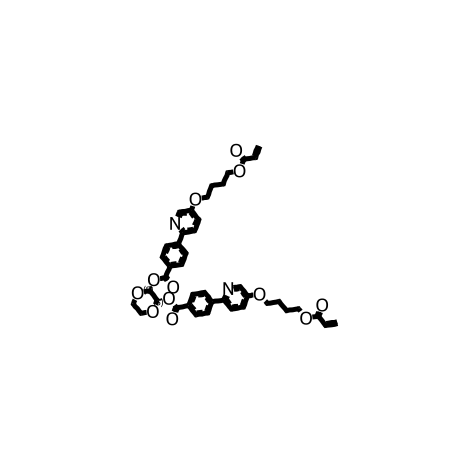 C=CC(=O)OCCCCOc1ccc(-c2ccc(C(=O)O[C@@H]3OCCO[C@H]3OC(=O)c3ccc(-c4ccc(OCCCCOC(=O)C=C)cn4)cc3)cc2)nc1